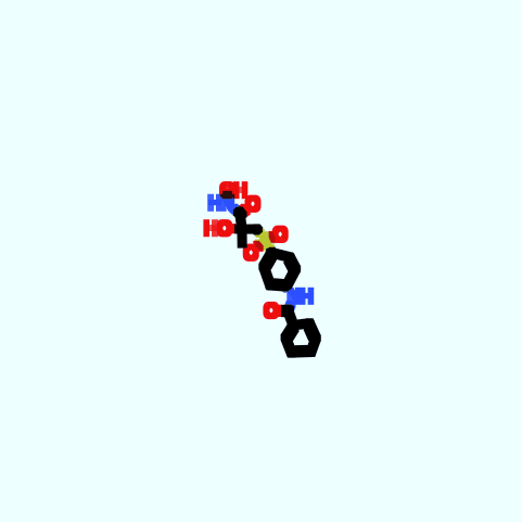 CC(O)(CS(=O)(=O)c1ccc(NC(=O)c2ccccc2)cc1)C(=O)NO